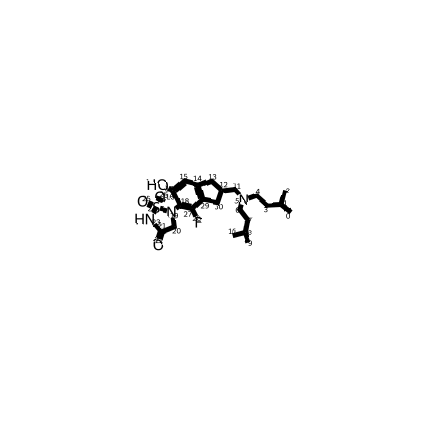 CC(C)CCN(CCC(C)C)CC1Cc2cc(O)c(N3CC(=O)NS3(=O)=O)c(F)c2C1